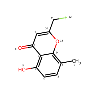 Cc1ccc(O)c2c(=O)cc(CF)oc12